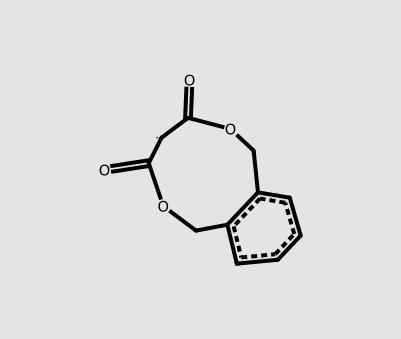 O=C1[CH]C(=O)OCc2ccccc2CO1